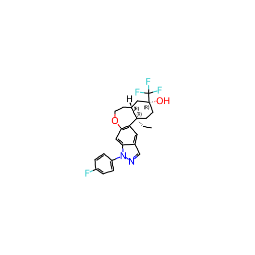 CC[C@@]12CC[C@](O)(C(F)(F)F)C[C@H]1CCOc1cc3c(cnn3-c3ccc(F)cc3)cc12